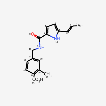 CC(=O)/C=C/c1ccc(C(=O)NCc2ccc(C(=O)O)c(C)c2)[nH]1